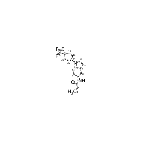 C=CC(=O)Nc1ccc2c(ccn2-c2ccc(C(F)(F)F)cc2)c1